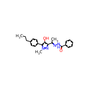 CCCc1ccc(-c2c(O)c(/C(C)=N/NC(=O)c3ccccc3)nn2C)cc1